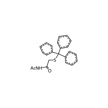 CC(=O)NC(=O)CSC(c1ccccc1)(c1ccccc1)c1ccccc1